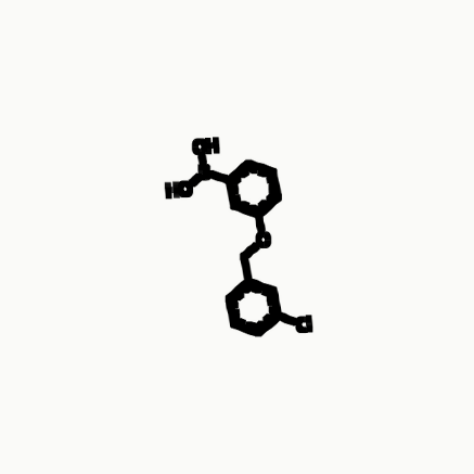 OB(O)c1cccc(OCc2cccc(Cl)c2)c1